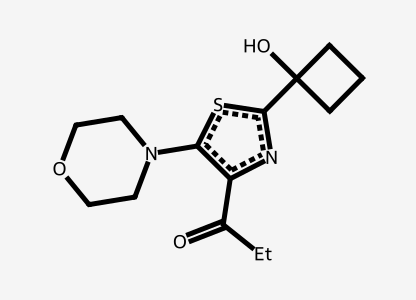 CCC(=O)c1nc(C2(O)CCC2)sc1N1CCOCC1